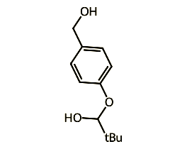 CC(C)(C)C(O)Oc1ccc(CO)cc1